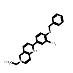 Cc1cc(C2C=CC3=C(C=CN(CC(=O)O)C3)N2)ccc1OCc1ccccc1